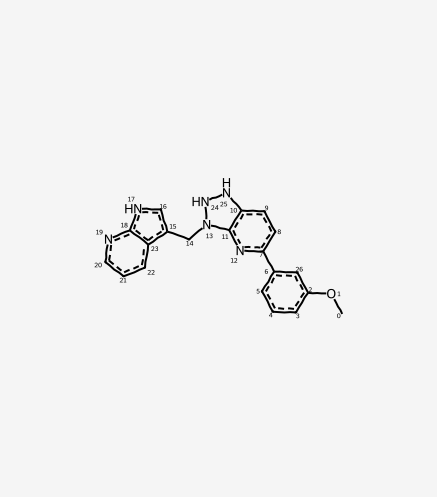 COc1cccc(-c2ccc3c(n2)N(Cc2c[nH]c4ncccc24)NN3)c1